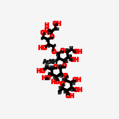 CC(=O)NC1C(OCC(O)C(CO)OC(O)CO)OC(CO)C(O)C1OC1OC(CO)C(O)C(O)C1OC1OC(C)C(O)C(O)C1O